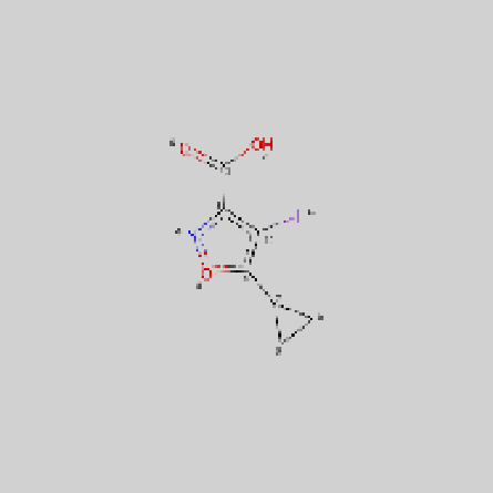 O=C(O)c1noc(C2CC2)c1I